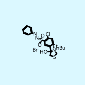 CCCC[N+]1(CC)CSCC1(O)c1ccc(Cl)c(S(=O)(=O)N=Nc2ccccc2)c1.[Br-]